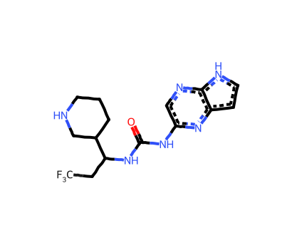 O=C(Nc1cnc2[nH]ccc2n1)NC(CC(F)(F)F)C1CCCNC1